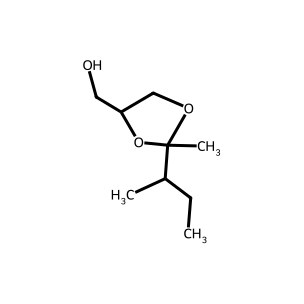 CCC(C)C1(C)OCC(CO)O1